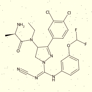 CCN(C(=O)[C@@H](C)N)C1CN(/C(=N\C#N)Nc2cccc(OC(F)F)c2)N=C1c1ccc(Cl)c(Cl)c1